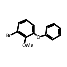 COc1c(Br)cccc1Oc1ccccc1